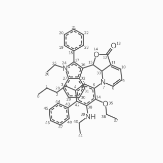 CCCCc1cc(N2C=CC=C3C(=O)OC(c4c(-c5ccccc5)n(CC)c5ccccc45)C32)c(OCC)c(NCC)c1-c1ccccc1